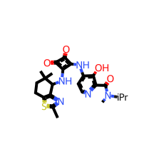 Cc1nc2c(s1)CCC(C)(C)C2Nc1c(Nc2ccnc(C(=O)N(C)C(C)C)c2O)c(=O)c1=O